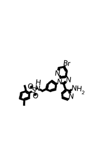 Cc1ccc(C)c(S(=O)(=O)NCc2ccc(-n3c(-c4cccnc4N)nc4cc(Br)cnc43)cc2)c1